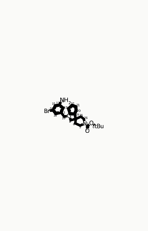 CC(C)(C)OC(=O)N1CCC(COCc2cc(N)cc(Br)c2)(c2ccccc2)CC1